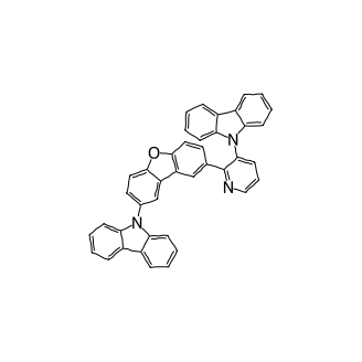 c1cnc(-c2ccc3oc4ccc(-n5c6ccccc6c6ccccc65)cc4c3c2)c(-n2c3ccccc3c3ccccc32)c1